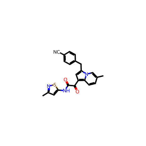 Cc1ccc2c(C(=O)C(=O)Nc3cc(C)ns3)cc(Cc3ccc(C#N)cc3)n2c1